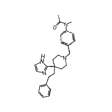 CC(=O)N(C)c1ccc(CN2CCC(CCc3ccccc3)(c3ncc[nH]3)CC2)cc1